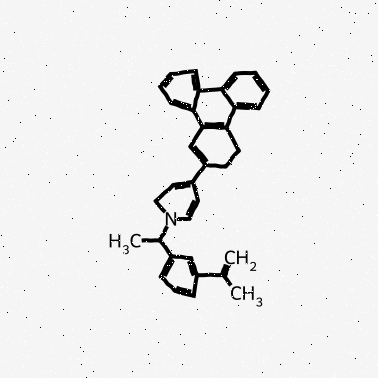 C=C(C)c1cccc(C(C)N2C=CC(C3=Cc4c(c5ccccc5c5ccccc45)CC3)=CC2)c1